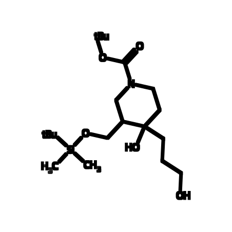 CC(C)(C)OC(=O)N1CCC(O)(CCCO)C(CO[Si](C)(C)C(C)(C)C)C1